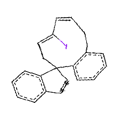 IC1=C\CC2(c3ccccc3C/C=C\1)c1ccccc1-c1ccccc12